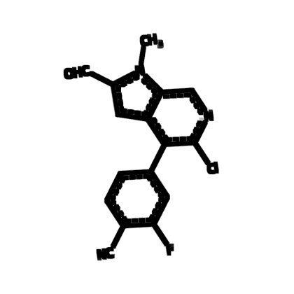 Cn1c(C=O)cc2c(-c3ccc(C#N)c(F)c3)c(Cl)ncc21